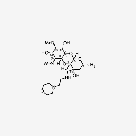 CN[C@@H]1[C@H](O)[C@H](NC)[C@H]2O[C@]3(O)[C@H](O[C@@H]2[C@H]1O)O[C@H](C)C[C@@]3(O)CNCCN1CCOCC1